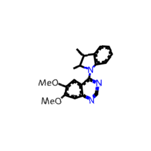 COc1cc2ncnc(N3c4ccccc4C(C)C3C)c2cc1OC